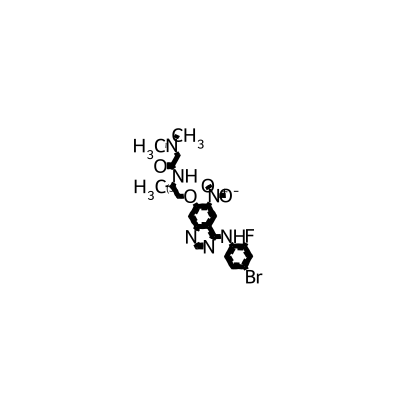 C[C@@H](COc1cc2ncnc(Nc3ccc(Br)cc3F)c2cc1[N+](=O)[O-])NC(=O)CN(C)C